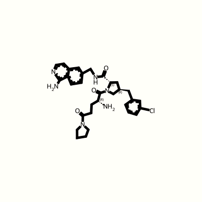 Nc1nccc2cc(CNC(=O)[C@@H]3C[C@@H](Cc4cccc(Cl)c4)CN3C(=O)[C@H](N)CCC(=O)N3CCCC3)ccc12